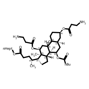 CCCCCCCOC(=O)CC[C@@H](C)[C@H]1CC[C@H]2[C@@H]3[C@H](OC(=O)CCCC)C[C@@H]4C[C@H](OC(=O)CCN)CC[C@]4(C)[C@H]3C[C@H](OC(=O)CCN)[C@]12C